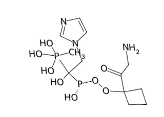 CP(O)(O)(O)C(O)(Cn1ccnc1)[P@@](O)OOC1(C(=O)CN)CCC1